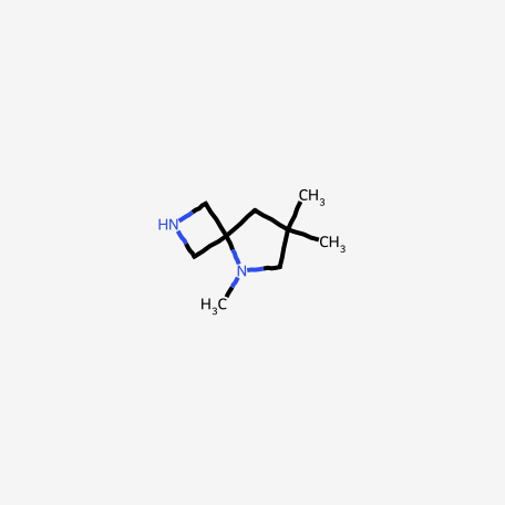 CN1CC(C)(C)CC12CNC2